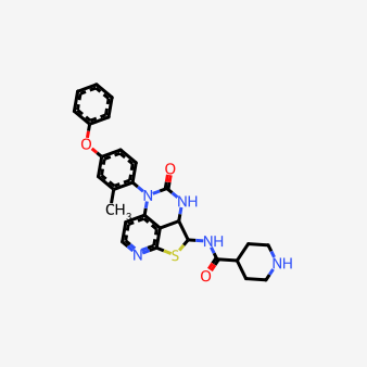 Cc1cc(Oc2ccccc2)ccc1N1C(=O)NC2c3c1ccnc3SC2NC(=O)C1CCNCC1